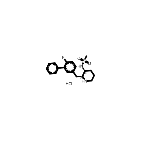 CS(=O)(=O)N[C@H]1CCCN[C@H]1Cc1ccc(F)c(-c2ccccc2)c1.Cl